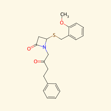 COc1ccccc1CSC1CC(=O)N1CC(=O)CCc1ccccc1